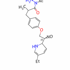 CCC1=CNC([C@@H](COc2ccc(CC(C)C(=O)N(N)C(C)=O)cc2)N=O)C=C1